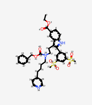 CCOC(=O)c1ccc2[nH]c(-c3cc(S(C)(=O)=O)cc(S(C)(=O)=O)c3)c(CCN(CCCCc3ccncc3)C(=O)OCc3ccccc3)c2c1